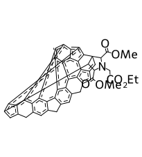 CCOC(=O)CN1C(C(=O)OC)C2c3cc4c5c3c3c6c7c8c(cc9c8c8c%10c(cc%11c%12c%13c(cc(c%14c5c5c3c7c8c(c%12%10)c5c%13%14)C4)C%11)C9)=CC62C1C(=O)OC